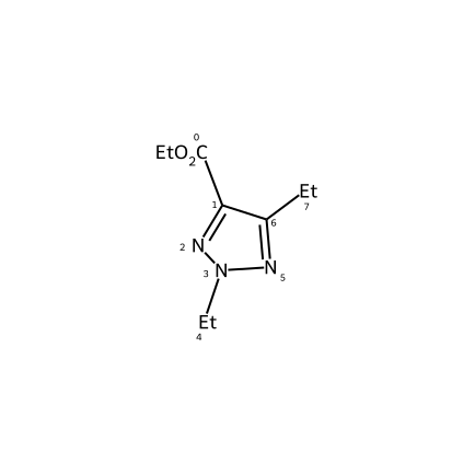 CCOC(=O)c1nn(CC)nc1CC